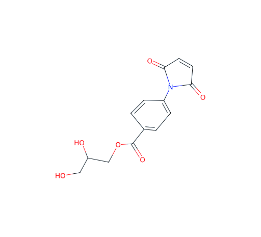 O=C(OCC(O)CO)c1ccc(N2C(=O)C=CC2=O)cc1